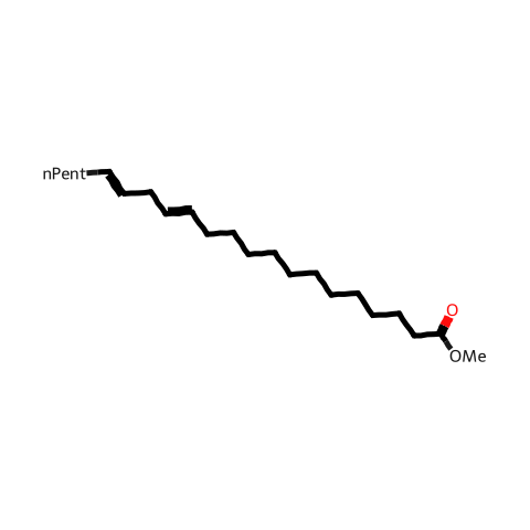 CCCCCC=CCC=CCCCCCCCCCCCC(=O)OC